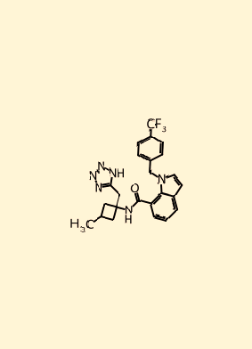 CC1CC(Cc2nnn[nH]2)(NC(=O)c2cccc3ccn(Cc4ccc(C(F)(F)F)cc4)c23)C1